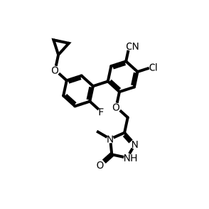 Cn1c(COc2cc(Cl)c(C#N)cc2-c2cc(OC3CC3)ccc2F)n[nH]c1=O